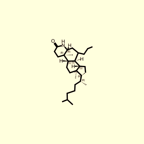 CCCC1C[C@H]2NC(=O)CC[C@]2(C)[C@H]2CC[C@]3(C)[C@@H]([C@H](C)CCCC(C)C)CC[C@H]3[C@H]12